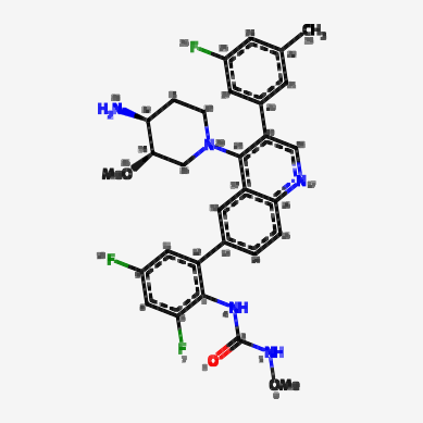 CONC(=O)Nc1c(F)cc(F)cc1-c1ccc2ncc(-c3cc(C)cc(F)c3)c(N3CC[C@H](N)[C@H](OC)C3)c2c1